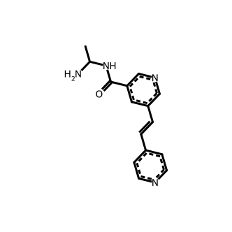 CC(N)NC(=O)c1cncc(C=Cc2ccncc2)c1